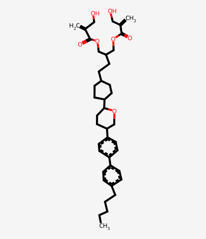 C=C(CO)C(=O)OCC(CCC1CCC(C2CCC(c3ccc(-c4ccc(CCCCC)cc4)cc3)CO2)CC1)COC(=O)C(=C)CO